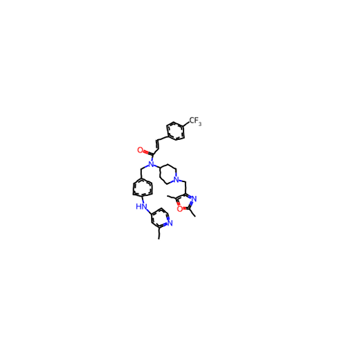 Cc1cc(Nc2ccc(CN(C(=O)C=Cc3ccc(C(F)(F)F)cc3)C3CCN(Cc4nc(C)oc4C)CC3)cc2)ccn1